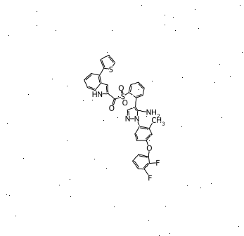 Cc1cc(Oc2cccc(F)c2F)ccc1-n1ncc(-c2ccccc2S(=O)(=O)C(=O)c2cc3c(-c4cccs4)cccc3[nH]2)c1N